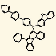 c1ccc(-c2ccc(-c3ccc(N(c4ccc5c(c4)oc4ccccc45)c4cc5c(-c6ccccc6)c6ccccc6n5c5ccccc45)cc3)cc2)cc1